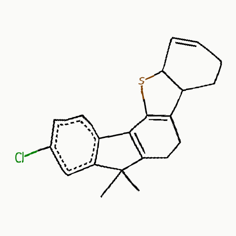 CC1(C)C2=C(C3=C(CC2)C2CCC=CC2S3)c2ccc(Cl)cc21